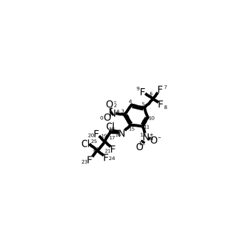 O=[N+]([O-])c1cc(C(F)(F)F)cc([N+](=O)[O-])c1N=C(Cl)C(F)(F)C(F)(F)Cl